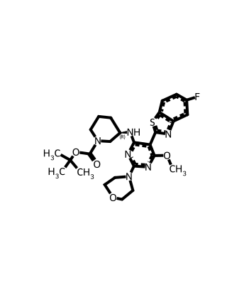 COc1nc(N2CCOCC2)nc(N[C@@H]2CCCN(C(=O)OC(C)(C)C)C2)c1-c1nc2cc(F)ccc2s1